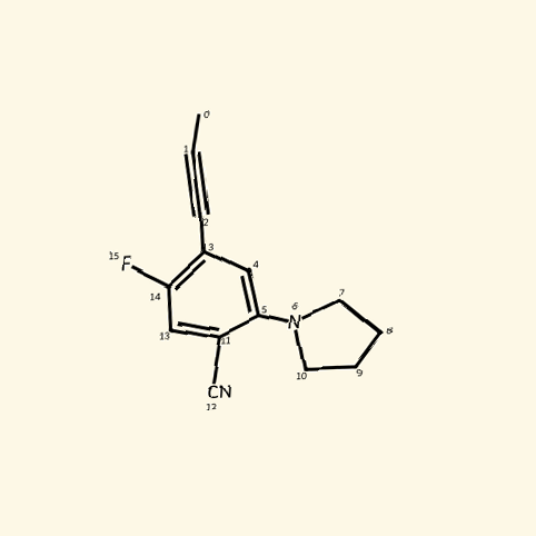 CC#Cc1cc(N2CCCC2)c(C#N)cc1F